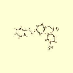 CCN(Cc1ccc(OCc2ccccc2)cc1)c1ccc(C#N)cc1